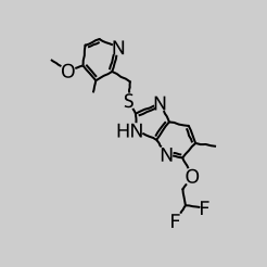 COc1ccnc(CSc2nc3cc(C)c(OCC(F)F)nc3[nH]2)c1C